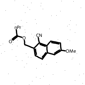 CCCC(=O)OCc1ccc2cc(OC)ccc2c1C#N